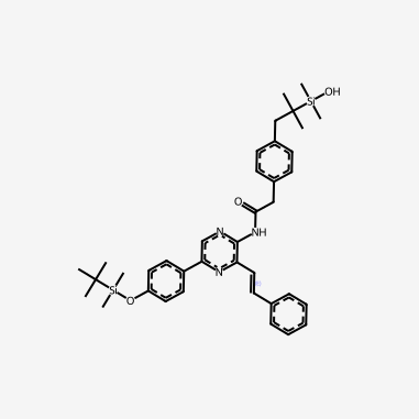 CC(C)(Cc1ccc(CC(=O)Nc2ncc(-c3ccc(O[Si](C)(C)C(C)(C)C)cc3)nc2/C=C/c2ccccc2)cc1)[Si](C)(C)O